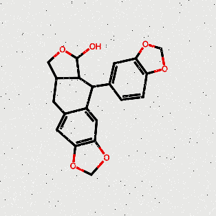 OC1OCC2Cc3cc4c(cc3C(c3ccc5c(c3)OCO5)C21)OCO4